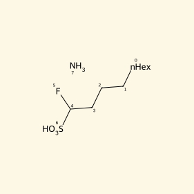 CCCCCCCCCC(F)S(=O)(=O)O.N